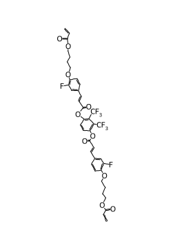 C=CC(=O)OCCCCOc1ccc(/C=C/C(=O)Oc2ccc(OC(=O)/C=C/c3ccc(OCCCCOC(=O)C=C)c(F)c3)c(C(F)(F)F)c2C(F)(F)F)cc1F